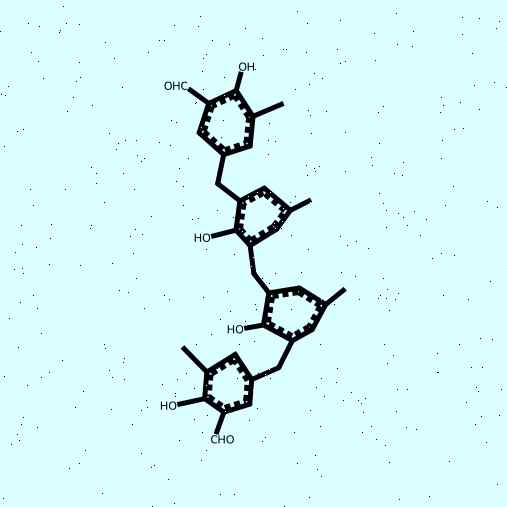 Cc1cc(Cc2cc(C)c(O)c(C=O)c2)c(O)c(Cc2cc(C)cc(Cc3cc(C)c(O)c(C=O)c3)c2O)c1